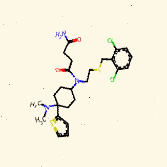 CN(C)C1(c2cccs2)CCC(N(CCSCc2c(Cl)cccc2Cl)C(=O)CCC(N)=O)CC1